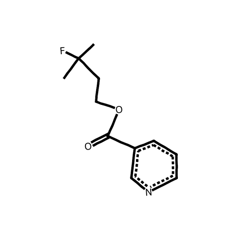 CC(C)(F)CCOC(=O)c1cccnc1